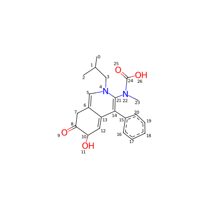 CC(C)CN1C=C2CC(=O)C(O)C=C2C(c2ccccc2)=C1N(C)C(=O)O